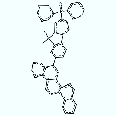 CC1(C)c2cc(-c3cc4c(ccc5c6ccccc6ccc54)c4ccccc34)ccc2-c2ccc(P(=O)(c3ccccc3)c3ccccc3)cc21